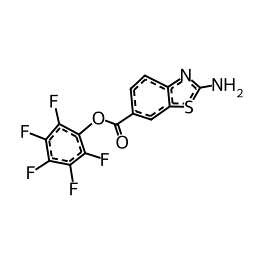 Nc1nc2ccc(C(=O)Oc3c(F)c(F)c(F)c(F)c3F)cc2s1